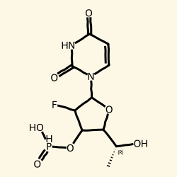 C[C@@H](O)C1OC(n2ccc(=O)[nH]c2=O)C(F)C1O[PH](=O)O